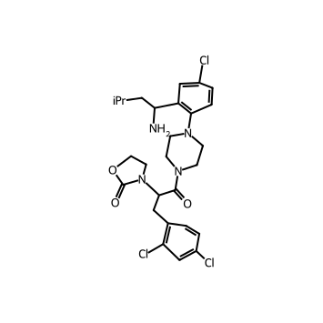 CC(C)CC(N)c1cc(Cl)ccc1N1CCN(C(=O)C(Cc2ccc(Cl)cc2Cl)N2CCOC2=O)CC1